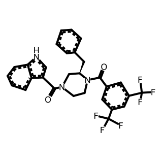 O=C(c1c[nH]c2ccccc12)N1CCN(C(=O)c2cc(C(F)(F)F)cc(C(F)(F)F)c2)[C@H](Cc2ccccc2)C1